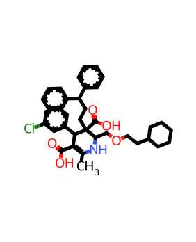 CC1=C(C(=O)O)C(c2cccc(Cl)c2)C(CCC(c2ccccc2)c2ccccc2)(C(=O)O)C(COCCC2CCCCC2)N1